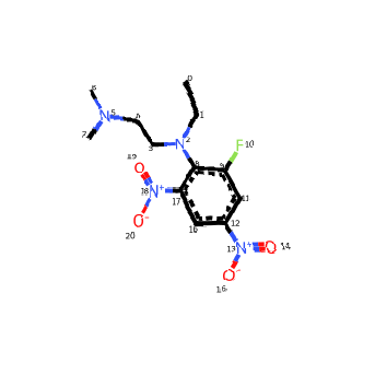 CCN(CCN(C)C)c1c(F)cc([N+](=O)[O-])cc1[N+](=O)[O-]